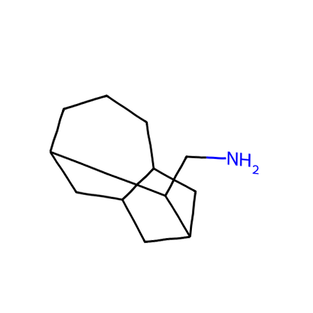 NCC1C2CCCC3CC1CC3C2